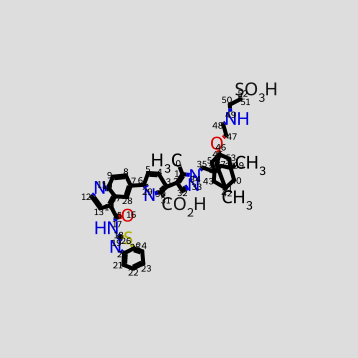 Cc1c(-c2ccc(-c3ccc4nccc(C(=O)Nc5nc6ccccc6s5)c4c3)nc2C(=O)O)cnn1CC12CC3(C)CC(C)(C1)CC(OCCNCCS(=O)(=O)O)(C3)C2